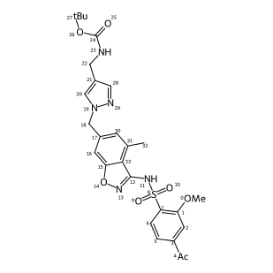 COc1cc(C(C)=O)ccc1S(=O)(=O)Nc1noc2cc(Cn3cc(CNC(=O)OC(C)(C)C)cn3)cc(C)c12